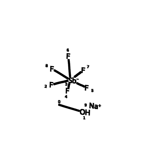 CO.[F][Sb-]([F])([F])([F])([F])[F].[Na+]